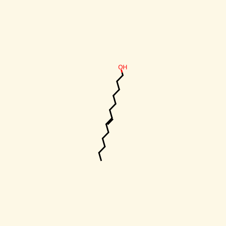 CCCCC/C=C/CCCCCCO